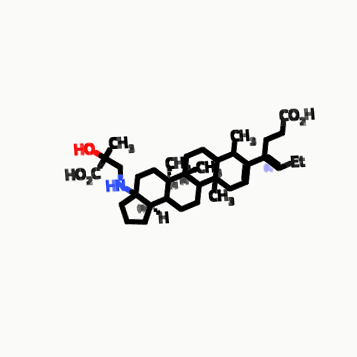 CC/C=C(\CCC(=O)O)C1=CCC2(C)C(CC[C@]3(C)C2CCC2[C@H]4CCCC4(NCC(C)(O)C(=O)O)CC[C@]23C)C1C